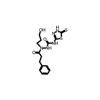 O=C(Nc1n[nH]c(=S)s1)NN(CCCO)C(=O)CCc1ccccc1